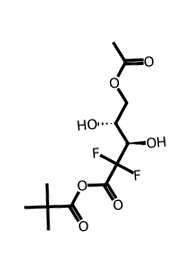 CC(=O)OC[C@@H](O)[C@@H](O)C(F)(F)C(=O)OC(=O)C(C)(C)C